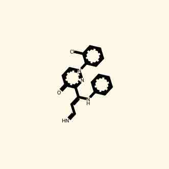 N=C/C=C(\Nc1ccccc1)c1nn(-c2ccccc2Cl)ccc1=O